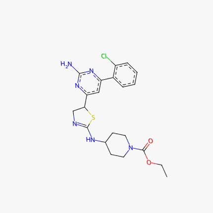 CCOC(=O)N1CCC(NC2=NCC(c3cc(-c4ccccc4Cl)nc(N)n3)S2)CC1